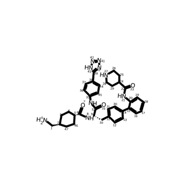 NC[C@H]1CC[C@H](C(=O)N[C@@H](Cc2ccc(-c3ccccc3NC(=O)C3CCNCC3)cc2)C(=O)Nc2ccc(-c3nnn[nH]3)cc2)CC1